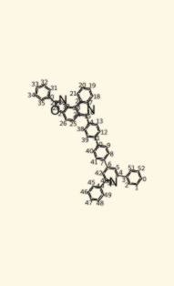 c1ccc(-c2cc(-c3ccc(-c4ccc(-c5nc6ccccc6c6c5ccc5oc(-c7ccccc7)nc56)cc4)cc3)cc(-c3ccccc3)n2)cc1